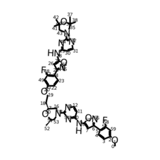 COc1ccc(-c2cc(Nc3ccnc(N4C[C@H](CCOc5ccc(-c6cc(Nc7ccnc(N8CC(C)(C)OC(C)(C)C8)n7)on6)c(F)c5)O[C@H](C)C4)n3)on2)c(F)c1